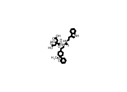 CN(C)C1(c2ccccc2)CCC(CCNC(=S)NCCc2c[nH]c3ccccc23)CC1.O=C(O)CC(O)(CC(=O)O)C(=O)O